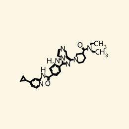 CCN(CC)C(=O)C1CCCN(C2=C3C=NC=C[N+]3(N)C(c3ccc(C(=O)Nc4cc(C5CC5)ccn4)cc3)=N2)C1